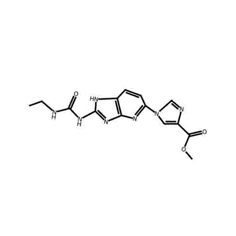 CCNC(=O)Nc1nc2nc(-n3cnc(C(=O)OC)c3)ccc2[nH]1